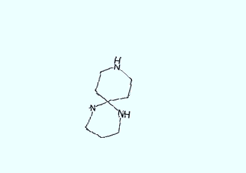 C1C[N]C2(CCNCC2)NC1